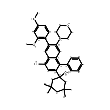 COc1ccc(-c2cc3c(O)cc(C4(O)CC(C)(C)CC(C)(C)C4)c(-c4ccccc4)c3cc2N2CCOCC2)c(OC)c1